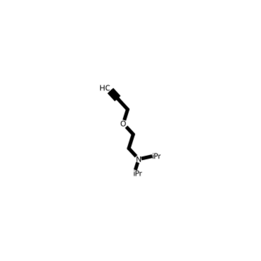 C#CCOCCN(C(C)C)C(C)C